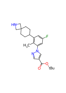 Cc1c(C2CCC3(CC2)CNC3)cc(F)cc1-n1cc(C(=O)OC(C)(C)C)cn1